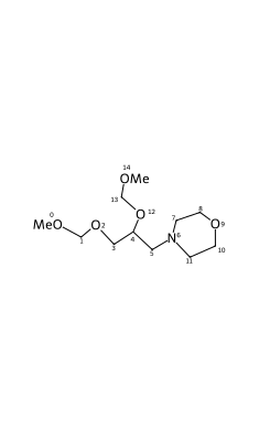 COCOCC(CN1CCOCC1)OCOC